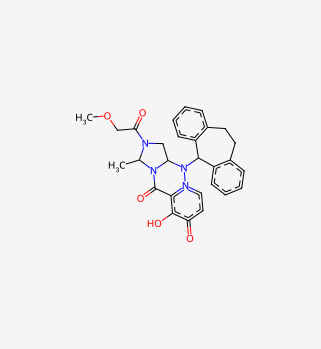 COCC(=O)N1CC2N(C(=O)c3c(O)c(=O)ccn3N2C2c3ccccc3CCc3ccccc32)C1C